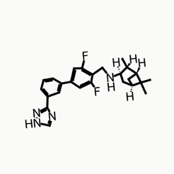 C[C@@H]1[C@H]2C[C@H](C[C@H]1NCc1c(F)cc(-c3cccc(-c4nc[nH]n4)c3)cc1F)C2(C)C